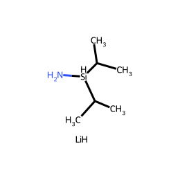 CC(C)[SiH](N)C(C)C.[LiH]